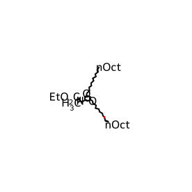 CCCCCCCCC=CCCCCCCCCOc1cc(CN(C)CC(=O)OCC)cc(OCCCCCCCCC=CCCCCCCCC)c1